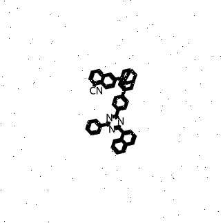 N#Cc1cccc2cc(C34CC5CC(CC(c6ccc(-c7nc(-c8ccccc8)nc(-c8cccc9ccccc89)n7)cc6)(C5)C3)C4)ccc12